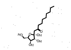 CCCCCCCCC(=O)C[C@]1(O)O[C@H](CO)[C@H](O)[C@H]1O